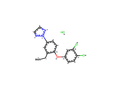 CNCc1cc(-n2nccn2)ccc1Oc1ccc(Cl)c(Cl)c1.Cl